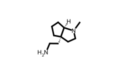 CN1CC[C@@]2(CCN)CCC[C@@H]12